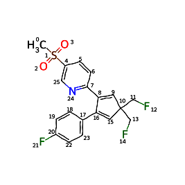 CS(=O)(=O)c1ccc(C2=CC(CF)(CF)C=C2c2ccc(F)cc2)nc1